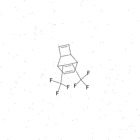 FC(F)(F)C1=C(C(F)(F)F)C2C=CC1C1C=CC21